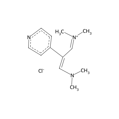 CN(C)C=C(C=[N+](C)C)c1ccncc1.[Cl-]